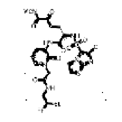 CCC(CC)CNC(=O)Cn1cccc(NC(=O)[C@H](CCC(=O)C(=O)NC)NS(=O)(=O)c2c(Cl)nc3sccn23)c1=O